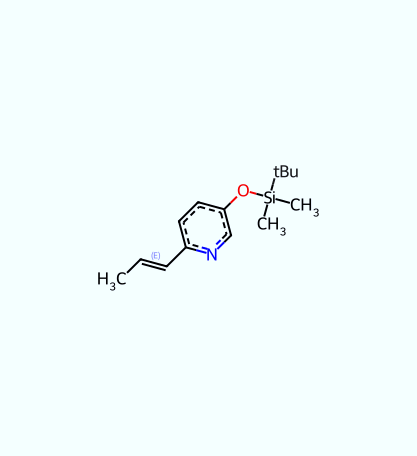 C/C=C/c1ccc(O[Si](C)(C)C(C)(C)C)cn1